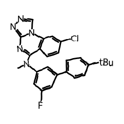 CN(c1cc(F)cc(-c2ccc(C(C)(C)C)cc2)c1)c1nc2nncn2c2cc(Cl)ccc12